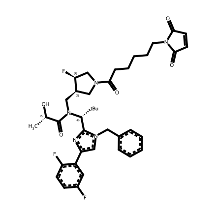 C[C@H](O)C(=O)N(C[C@@H]1CN(C(=O)CCCCCN2C(=O)C=CC2=O)C[C@@H]1F)[C@@H](c1nc(-c2cc(F)ccc2F)cn1Cc1ccccc1)C(C)(C)C